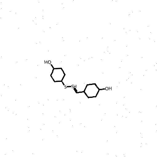 OC1CCC(/C=[SH]/SC2CCC(O)CC2)CC1